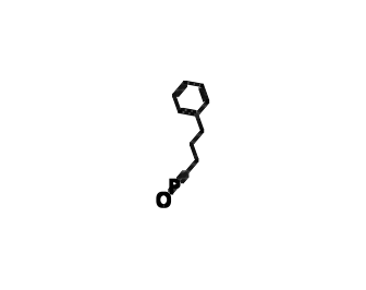 O=P#CCCCc1ccccc1